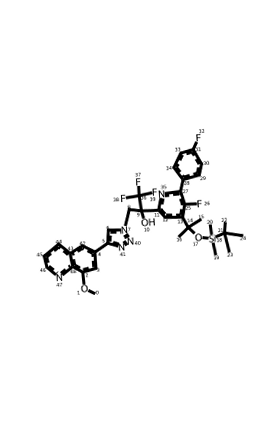 COc1cc(-c2cn(CC(O)(c3cc(C(C)(C)O[Si](C)(C)C(C)(C)C)c(F)c(-c4ccc(F)cc4)n3)C(F)(F)F)nn2)cc2cccnc12